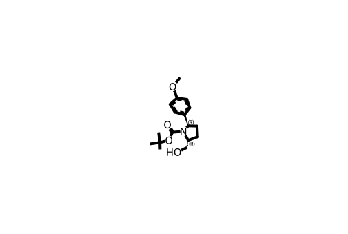 COc1ccc([C@H]2CC[C@H](CO)N2C(=O)OC(C)(C)C)cc1